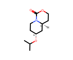 CC(C)O[C@@H]1CCN2C(=O)OCC[C@H]2C1